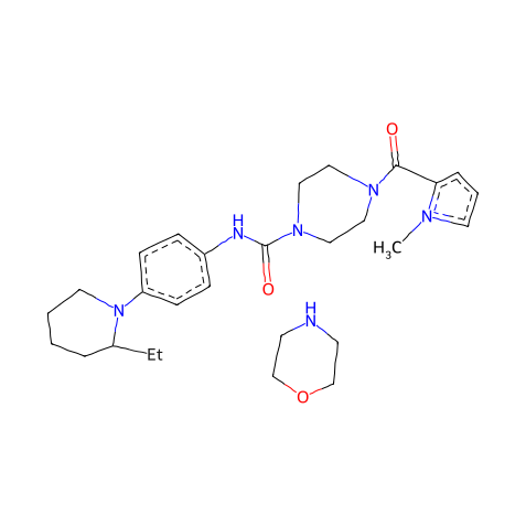 C1COCCN1.CCC1CCCCN1c1ccc(NC(=O)N2CCN(C(=O)c3cccn3C)CC2)cc1